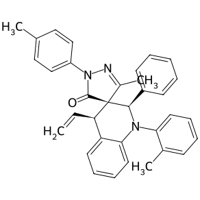 C=C[C@@H]1c2ccccc2N(c2ccccc2C)[C@H](c2ccccc2)[C@]12C(=O)N(c1ccc(C)cc1)N=C2C